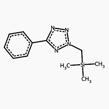 C[Si](C)(C)Cn1nnc(-c2ccccc2)n1